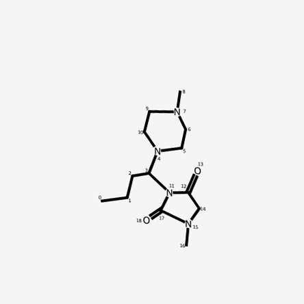 CCCC(N1CCN(C)CC1)N1C(=O)CN(C)C1=O